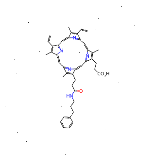 C=CC1=C(C)C2=CC3=NC(=CC4=NC(=CC5=NC(=CC1=N2)C(C)=C5C=C)C(C)=C4CCC(=O)O)C(CCC(=O)NCCCc1ccccc1)=C3C